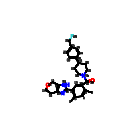 Cc1cc(C)c(-c2nc3c([nH]2)COCC3)cc1C(=O)N1CCC(c2ccc(CF)cc2)CC1